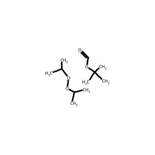 CC(C)(C)OC=O.CC(C)OOC(C)C